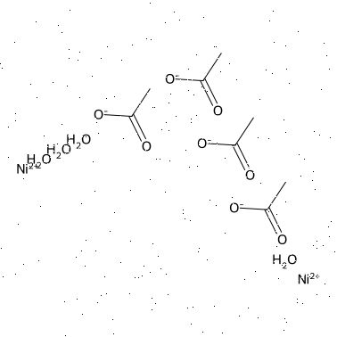 CC(=O)[O-].CC(=O)[O-].CC(=O)[O-].CC(=O)[O-].O.O.O.O.[Ni+2].[Ni+2]